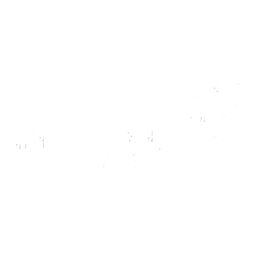 CC(N)C(=O)NCSCCc1ccc(NC(=O)NCc2ccc3c(c2)CN(C2CCC(=O)NC2=O)C3=O)cc1Cl